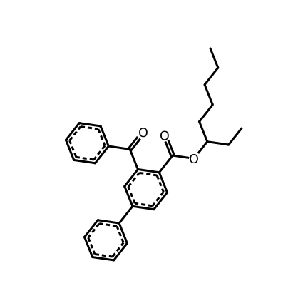 CCCCCC(CC)OC(=O)c1ccc(-c2ccccc2)cc1C(=O)c1ccccc1